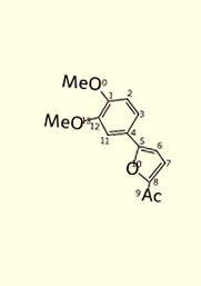 COc1ccc(-c2ccc(C(C)=O)o2)cc1OC